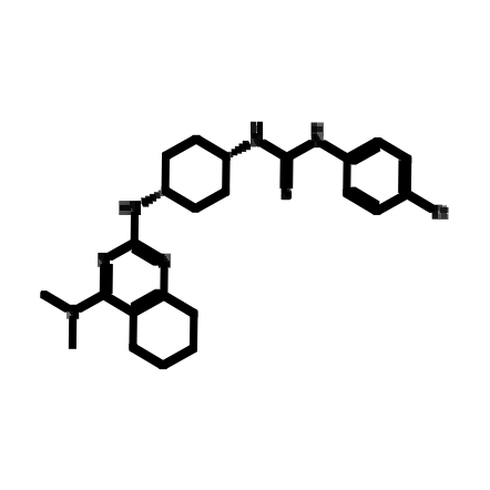 CCc1ccc(NC(=S)N[C@H]2CC[C@@H](Nc3nc4c(c(N(C)C)n3)CCCC4)CC2)cc1